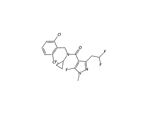 Cn1nc(CC(F)F)c(C(=O)N(Cc2c(Cl)cccc2C(F)(F)F)C2CC2)c1F